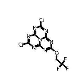 FC(F)(F)COC1=NC2=NC(Cl)=NC3=NC(Cl)=NC(=N1)N32